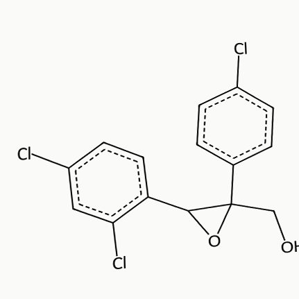 OCC1(c2ccc(Cl)cc2)OC1c1ccc(Cl)cc1Cl